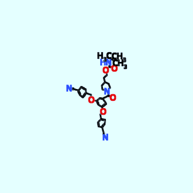 CC(C)(C)NC(=O)OCCC1CCN(C(=O)c2cc(OCc3ccc(C#N)cc3)cc(OCc3ccc(C#N)cc3)c2)CC1